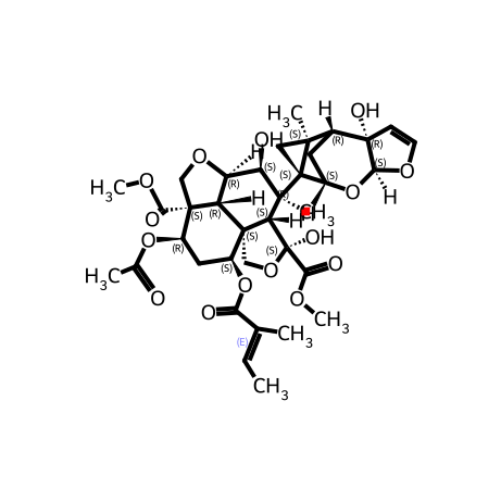 C/C=C(\C)C(=O)O[C@H]1C[C@@H](OC(C)=O)[C@@]2(C(=O)OC)CO[C@H]3[C@@H](O)[C@@](C)([C@]45C[C@@]4(C)[C@H]4C[C@@H]5O[C@@H]5OC=C[C@@]54O)[C@H]4[C@]1(CO[C@]4(O)C(=O)OC)[C@@H]32